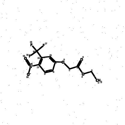 CCOC(=O)COc1ccc([N+](=O)[O-])c(C(F)(F)F)c1